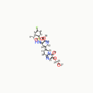 CCc1cc(F)ccc1S(=O)(=O)Nc1cc(-c2ccc3ncc(OCCOC)c(=O)n3c2)cnc1OC